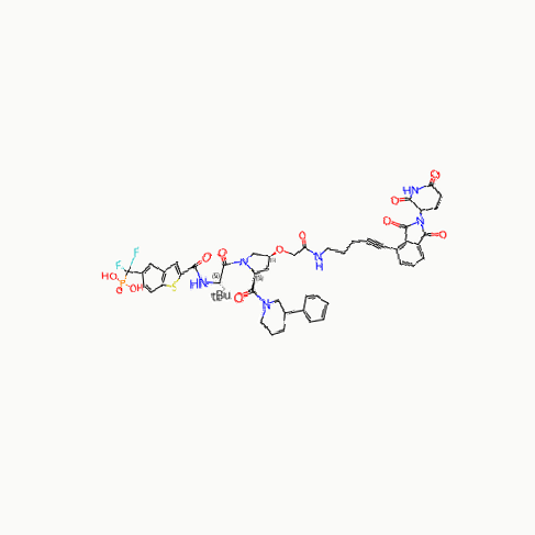 CC(C)(C)[C@H](NC(=O)c1cc2cc(C(F)(F)P(=O)(O)O)ccc2s1)C(=O)N1C[C@@H](OCC(=O)NCCCC#Cc2cccc3c2C(=O)N(C2CCC(=O)NC2=O)C3=O)C[C@H]1C(=O)N1CCCC(c2ccccc2)C1